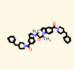 CC(C(=O)C(C)n1ccc2cc(C(=O)N3CCC(Cc4ccccc4)CC3)ccc21)n1ccc2cc(C(=O)N3CCC(Cc4ccccc4)CC3)ccc21